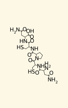 NC(=O)CC(N)C(=O)NC(CS)C(=O)N1CCCC1C(=O)NC(CS)C(=O)NC(CC(N)=O)C(=O)O